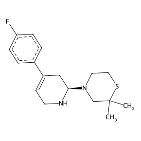 CC1(C)CN([C@@H]2CC(c3ccc(F)cc3)=CCN2)CCS1